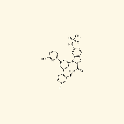 CS(=O)(=O)Nc1ccc2cc(C(N)=O)n(-c3cc(-c4cccc(O)n4)cc(-c4ccc(F)cc4F)c3)c2c1